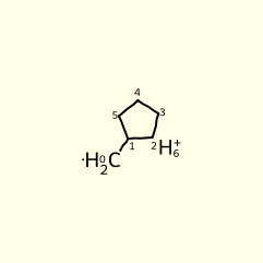 [CH2]C1CCCC1.[H+]